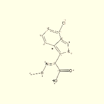 CON=C(C(=O)O)c1scc2c(Cl)cccc12